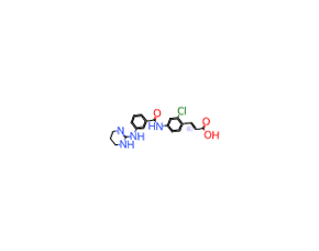 O=C(O)/C=C/c1ccc(NC(=O)c2cccc(NC3=NCCCN3)c2)cc1Cl